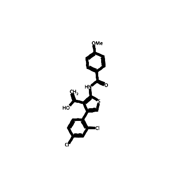 C=C(O)c1c(-c2ccc(Cl)cc2Cl)csc1NC(=O)c1ccc(OC)cc1